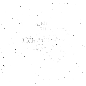 NC(=O)NCCC[C@@H](NC(=O)C(Cc1c[nH]c2ccccc12)NC1CCC(C2CCCCCCCCCCCC2)CC1)C(=O)CC1CC(CC2CCCCCCCCCC2)C1